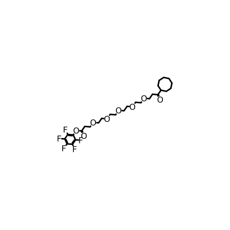 O=C(CCOCCOCCOCCOCCOCCC(=O)C1CCCCCCC1)Oc1c(F)c(F)c(F)c(F)c1F